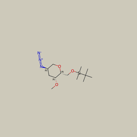 CO[C@@H]1C[C@@H](N=[N+]=[N-])CO[C@@H]1CO[Si](C)(C)C(C)(C)C